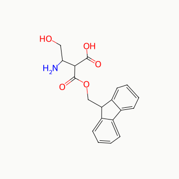 NC(CO)C(C(=O)O)C(=O)OCC1c2ccccc2-c2ccccc21